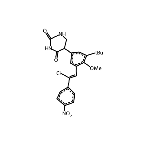 COc1c(/C=C(\Cl)c2ccc([N+](=O)[O-])cc2)cc(C2CNC(=O)NC2=O)cc1C(C)(C)C